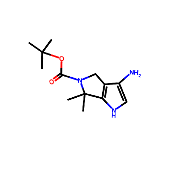 CC(C)(C)OC(=O)N1Cc2c(N)c[nH]c2C1(C)C